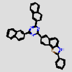 c1ccc(C2Nc3ccc4cc(-c5nc(-c6ccc7ccccc7c6)nc(-c6ccc7ccccc7c6)n5)ccc4c3S2)cc1